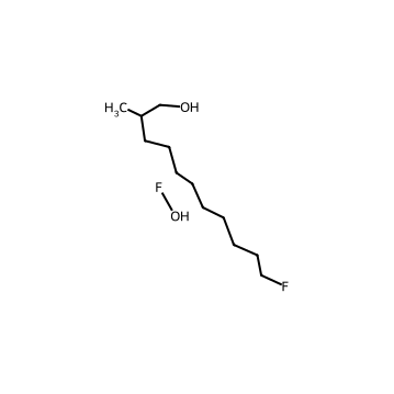 CC(CO)CCCCCCCCCF.OF